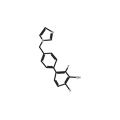 Oc1c(F)ccc(-c2ccc(Cn3ccnc3)cc2)c1F